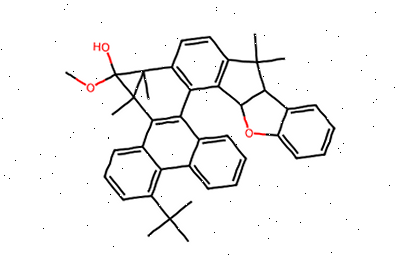 COC1(O)C2(C)c3ccc4c(c3-c3c(c5cccc(C(C)(C)C)c5c5ccccc35)C12C)C1Oc2ccccc2C1C4(C)C